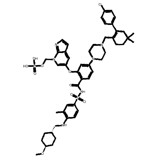 CO[C@H]1CC[C@H](CNc2ccc(S(=O)(=O)NC(=O)c3ccc(N4CCN(CC5=C(c6ccc(Cl)cc6)CC(C)(C)CC5)CC4)cc3Oc3cc4ccnc-4n(COP(=O)(O)O)c3)cc2C)CC1